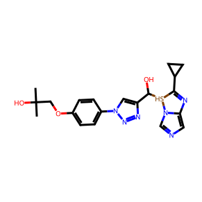 CC(C)(O)COc1ccc(-n2cc(C(O)[SH]3C(C4CC4)=Nc4cncn43)nn2)cc1